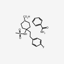 CS(=O)(=O)NC1(CCc2ccc(F)cc2)CCN(C(=O)O)CC1.NC(=O)c1ccccc1